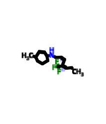 CC/C=C(\C=C/CNC1C=CC(C)CCC1)C(F)(F)F